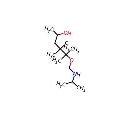 CC(O)CC(C)(C)C(C)(C)OCNC(C)C